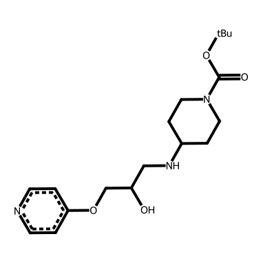 CC(C)(C)OC(=O)N1CCC(NCC(O)COc2ccncc2)CC1